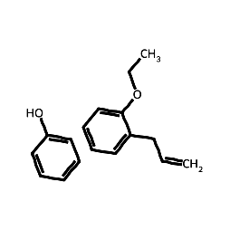 C=CCc1ccccc1OCC.Oc1ccccc1